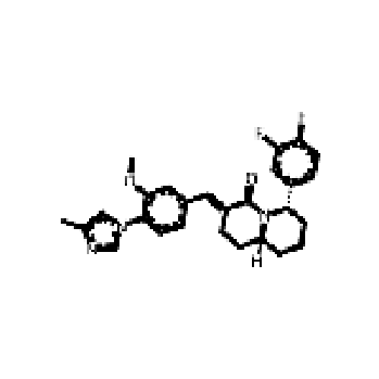 COc1cc(/C=C2\CC[C@H]3CCC[C@@H](c4ccc(F)c(F)c4)N3C2=O)ccc1-n1cnc(C)c1